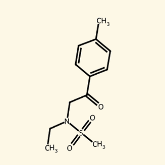 CCN(CC(=O)c1ccc(C)cc1)S(C)(=O)=O